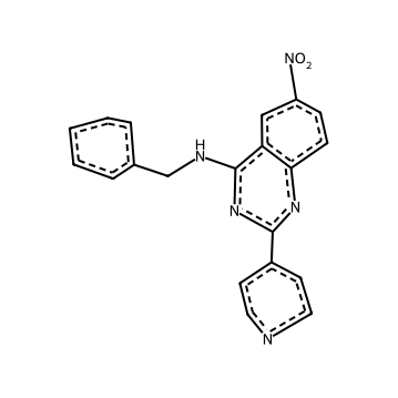 O=[N+]([O-])c1ccc2nc(-c3ccncc3)nc(NCc3ccccc3)c2c1